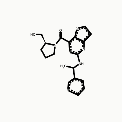 CC(Nc1nc(C(=O)N2CCC[C@H]2CO)c2sccc2n1)c1cccnc1